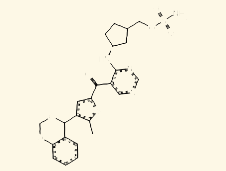 Cc1sc(C(=O)c2cncnc2N[C@H]2CCC(COS(N)(=O)=O)C2)cc1C1OCOc2ccccc21